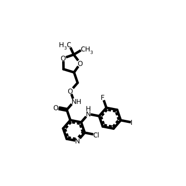 CC1(C)OCC(CONC(=O)c2ccnc(Cl)c2Nc2ccc(I)cc2F)O1